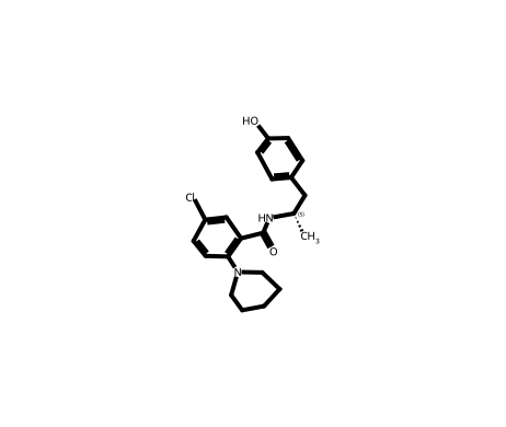 C[C@@H](Cc1ccc(O)cc1)NC(=O)c1cc(Cl)ccc1N1CCCCC1